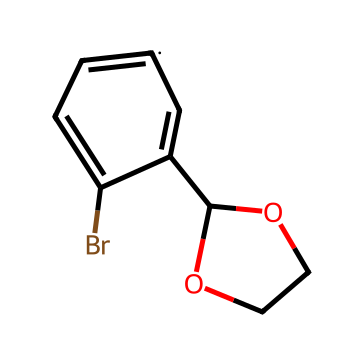 Brc1cc[c]cc1C1OCCO1